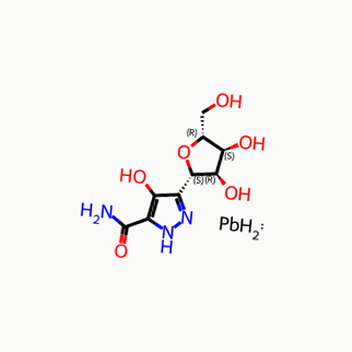 NC(=O)c1[nH]nc([C@@H]2O[C@H](CO)[C@@H](O)[C@H]2O)c1O.[PbH2]